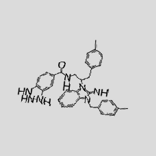 Cc1ccc(CC(CNC(=O)c2ccc3c(c2)NNN3)n2c(=N)n(Cc3ccc(C)cc3)c3ccccc32)cc1